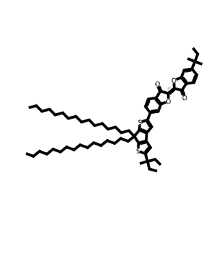 CCCCCCCCCCCCCCCCC1(CCCCCCCCCCCCCCCC)c2sc(-c3ccc4c(c3)O/C(=C3/Oc5cc(C(C)(C)CC)ccc5C3=O)C4=O)cc2-c2cc(C(C)(CC)CC)sc21